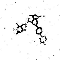 CCC(C)n1cc(C)c2c(C(=O)NCc3c(C)[nH]c(C)cc3=O)cc(-c3ccc(N4CCN(C)CC4)nc3)cc21